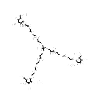 CC(=O)NC1[C@H](OCCCOCCOCCNC(=O)CCOCC(COCCC(=O)NCCOCCOCCO[C@@H]2OC(CO)[C@H](O)[C@H](O)C2NC(C)=O)(COCCC(=O)NCCOCCOCCO[C@@H]2OC(CO)[C@H](O)[C@H](O)C2NC(C)=O)C(C)(C)C)OC(CO)[C@H](O)[C@@H]1O